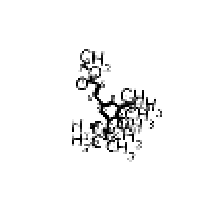 CCOC(=O)C=Cc1cc(C(C)(C)C)c(O)c(C(C)(C)C(C)C)c1